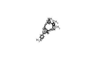 Cc1cc(C)c2cc1C(=O)NCCC(C(=O)NCCN1CCN(C)CC1)NC(=O)CCSc1cc-2nc(N)n1